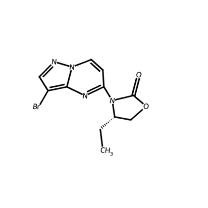 CC[C@H]1COC(=O)N1c1ccn2ncc(Br)c2n1